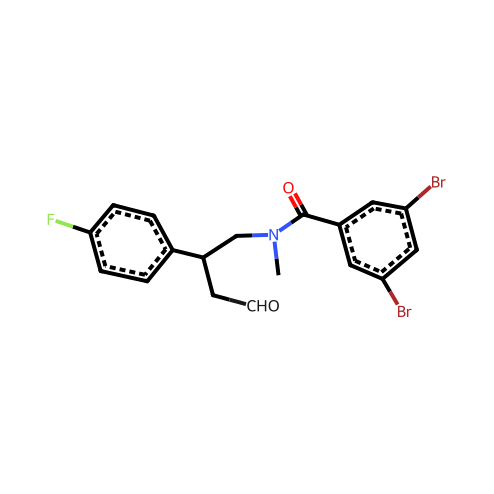 CN(CC(CC=O)c1ccc(F)cc1)C(=O)c1cc(Br)cc(Br)c1